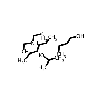 CC(C)O.CCCCCC.CCCCO.CCNCC